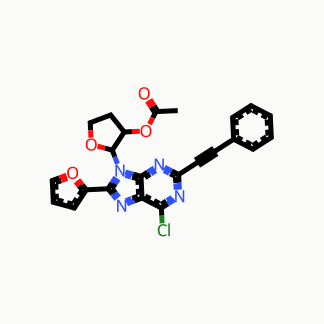 CC(=O)OC1CCOC1n1c(-c2ccco2)nc2c(Cl)nc(C#Cc3ccccc3)nc21